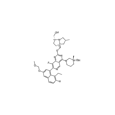 CCc1c(F)ccc2cc(OCOC)cc(-c3ncc4c(N5CCC[C@@](C)(O)C5)nc(OC[C@@]56CC[C@H](CO)N5CC(C)C6)nc4c3F)c12